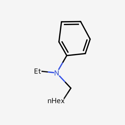 CCCCCCCN(CC)c1ccccc1